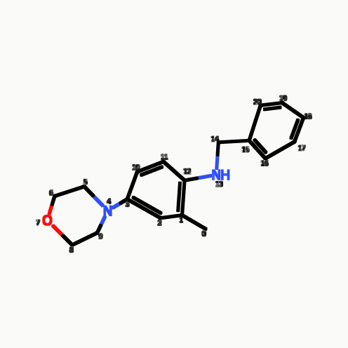 Cc1cc(N2CCOCC2)ccc1NCc1ccccc1